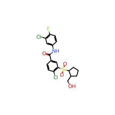 O=C(Nc1ccc(F)c(Cl)c1)c1ccc(Cl)c(S(=O)(=O)C2CCCC2CO)c1